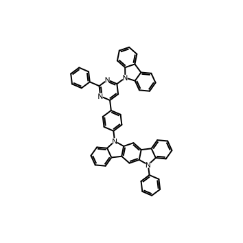 c1ccc(-c2nc(-c3ccc(-n4c5ccccc5c5cc6c(cc54)c4ccccc4n6-c4ccccc4)cc3)cc(-n3c4ccccc4c4ccccc43)n2)cc1